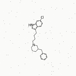 Clc1ccc2c(CCCCN3CCCC(Cc4ccccc4)C3)c[nH]c2c1